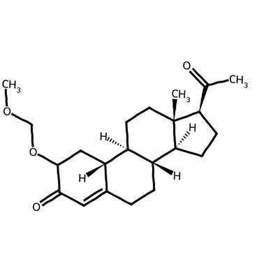 COCOC1C[C@H]2C(=CC1=O)CC[C@@H]1[C@@H]2CC[C@]2(C)[C@@H](C(C)=O)CC[C@@H]12